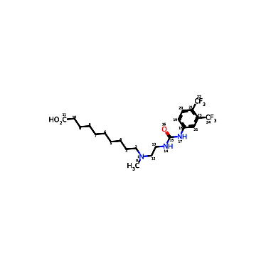 CN(CCCCCCCCCC(=O)O)CCNC(=O)Nc1ccc(C(F)(F)F)c(C(F)(F)F)c1